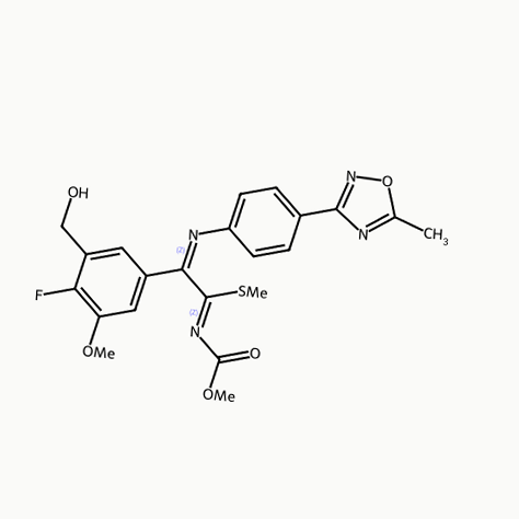 COC(=O)/N=C(SC)/C(=N\c1ccc(-c2noc(C)n2)cc1)c1cc(CO)c(F)c(OC)c1